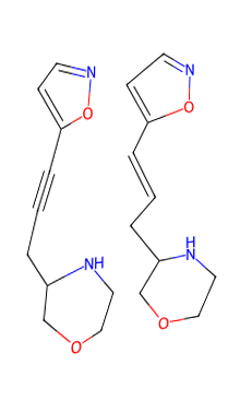 C(#Cc1ccno1)CC1COCCN1.C(=Cc1ccno1)CC1COCCN1